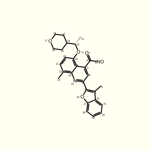 Cc1c(-c2cc(C(=O)N=O)c3c(O[C@@H](C)C4CCOCC4)ccc(C)c3n2)oc2ccccc12